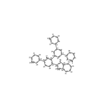 c1cncc(-c2cc(-c3cccnc3)cc(-c3nc(-c4cccnc4)ccc3-c3nc4ccccc4s3)c2)c1